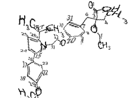 CCOC(CC)(Cc1ccc(OCCn2c(-c3ccc(OC)cc3)ccc2C(C)C)cc1)C(=O)O